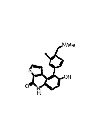 CNCc1ccc(-c2c(O)ccc3[nH]c(=O)c4sccc4c23)cc1C